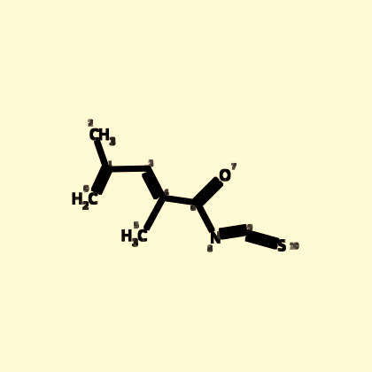 C=C(C)/C=C(\C)C(=O)N=C=S